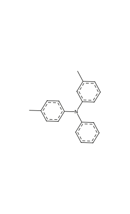 Cc1ccc(N(c2ccccc2)c2cccc(C)c2)cc1